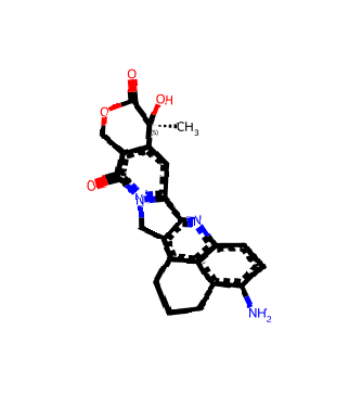 C[C@@]1(O)C(=O)OCc2c1cc1n(c2=O)Cc2c-1nc1ccc(N)c3c1c2CCC3